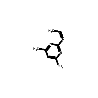 C/[C]=N\c1nc(C)cc(C)n1